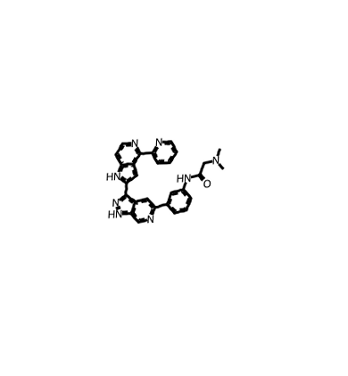 CN(C)CC(=O)Nc1cccc(-c2cc3c(-c4cc5c(-c6ccccn6)nccc5[nH]4)n[nH]c3cn2)c1